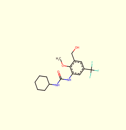 COc1c(CO)cc(C(F)(F)F)cc1NC(=O)NC1CCCCC1